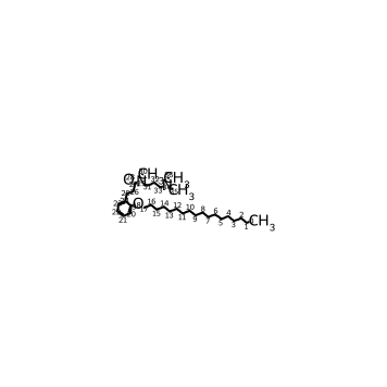 CCCCCCCCCCCCCCCCCCOc1ccccc1CCC(=O)N(C)CCCN(C)C